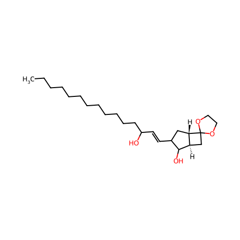 CCCCCCCCCCCCC(O)C=CC1C[C@H]2[C@@H](CC23OCCO3)C1O